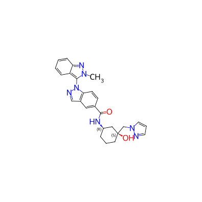 Cn1nc2ccccc2c1-n1ncc2cc(C(=O)N[C@@H]3CCC[C@@](O)(Cn4cccn4)C3)ccc21